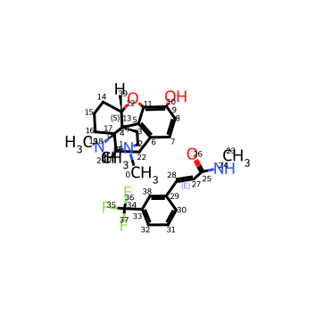 CN1CC[C@]23c4c5ccc(O)c4O[C@H]2CCC[C@@]3(N(C)C)[C@H]1C5.CNC(=O)/C=C/c1cccc(C(F)(F)F)c1